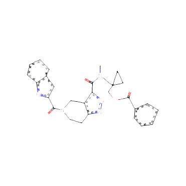 CN(C(=O)c1n[nH]c2c1CN(C(=O)c1cc3ccccc3[nH]1)CC2)C1(COC(=O)c2ccccc2)CC1